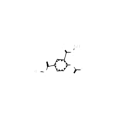 CCC(=O)Oc1ccc(C(=O)OC(C)(C)C)cc1C(=O)ON